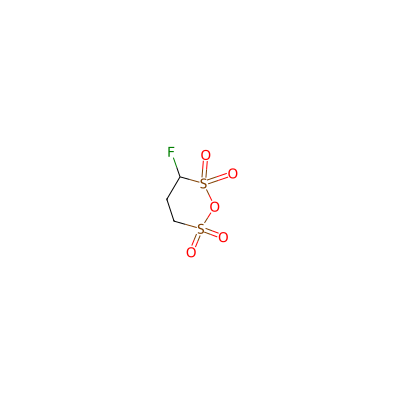 O=S1(=O)CCC(F)S(=O)(=O)O1